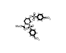 COC(=O)[C@@H]1CC[C@@H](OS(=O)(=O)c2ccc([N+](=O)[O-])cc2)CN1S(=O)(=O)c1ccc([N+](=O)[O-])cc1